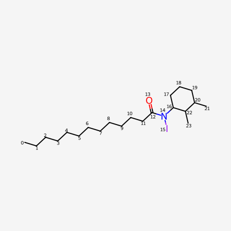 CCCCCCCCCCCCC(=O)N(I)C1CCCC(C)C1C